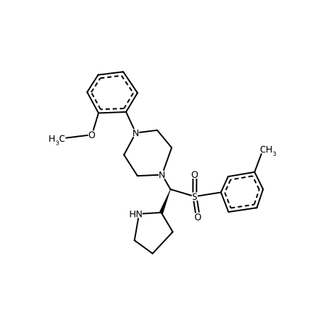 COc1ccccc1N1CCN([C@H](C2CCCN2)S(=O)(=O)c2cccc(C)c2)CC1